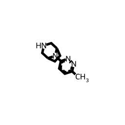 Cc1ccc(N2C3CCC2CNC3)nn1